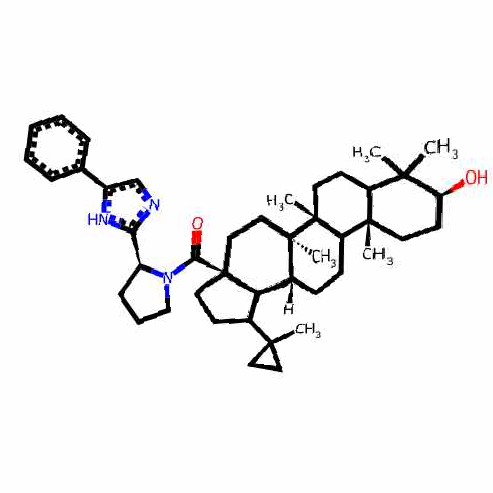 CC1(C2CC[C@]3(C(=O)N4CCC[C@H]4c4ncc(-c5ccccc5)[nH]4)CC[C@]4(C)[C@H](CCC5[C@@]6(C)CC[C@H](O)C(C)(C)C6CC[C@]54C)C23)CC1